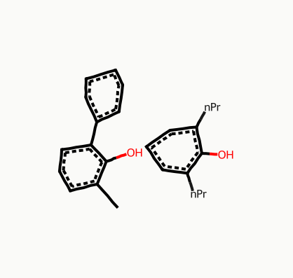 CCCc1cccc(CCC)c1O.Cc1cccc(-c2ccccc2)c1O